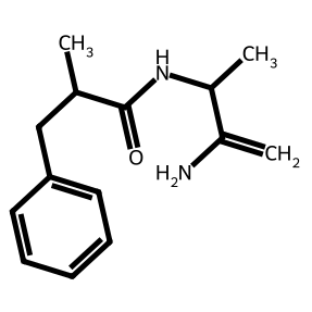 C=C(N)C(C)NC(=O)C(C)Cc1ccccc1